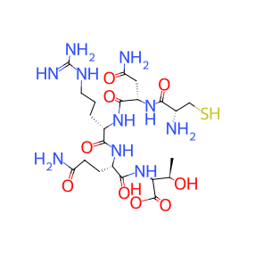 C[C@@H](O)[C@H](NC(=O)[C@H](CCC(N)=O)NC(=O)[C@H](CCCNC(=N)N)NC(=O)[C@H](CC(N)=O)NC(=O)[C@@H](N)CS)C(=O)O